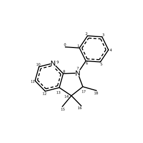 Cc1ccccc1N1c2ncccc2C(C)(C)C1C